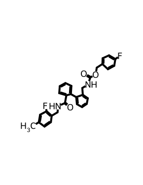 Cc1ccc(CNC(=O)c2ccccc2-c2ccccc2CNC(=O)OCc2ccc(F)cc2)c(F)c1